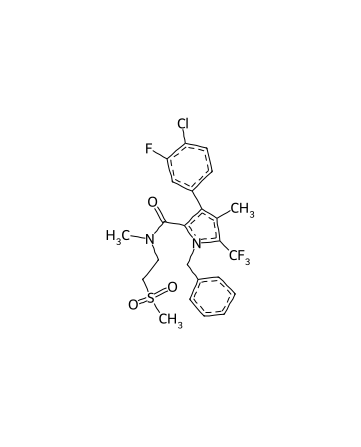 Cc1c(-c2ccc(Cl)c(F)c2)c(C(=O)N(C)CCS(C)(=O)=O)n(Cc2ccccc2)c1C(F)(F)F